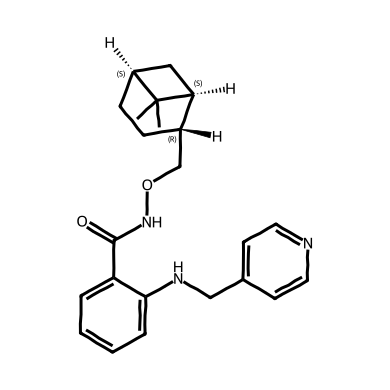 CC1(C)[C@H]2CC[C@@H](CONC(=O)c3ccccc3NCc3ccncc3)[C@@H]1C2